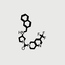 O=C(N1CCc2ncc(C(F)(F)F)cc2C1)N1CCC(NCc2ccc3ccccc3c2)C1